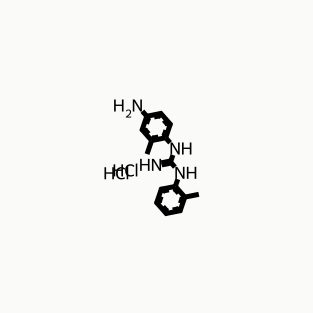 Cc1ccccc1NC(=N)Nc1ccc(N)cc1C.Cl.Cl